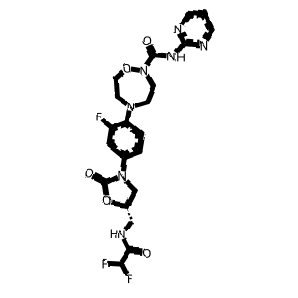 O=C(NC[C@H]1CN(c2ccc(N3CCON(C(=O)Nc4ncccn4)CC3)c(F)c2)C(=O)O1)C(F)F